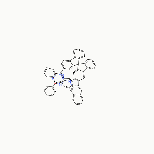 c1ccc(-c2c3ccccc3c(-c3ccc4c(c3)C3(c5ccccc5-4)c4ccccc4-c4cc5c6cc7ccccc7cc6n(-c6ncncn6)c5cc43)c3ccccc23)cc1